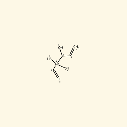 C=CC(O)[N+](S)(S)[C]=O